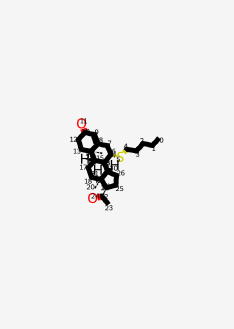 CCCCCS[C@@H]1CC2=CC(=O)CC[C@]2(C)[C@H]2CC[C@]3(C)[C@@H](C(C)=O)CC[C@H]3[C@H]12